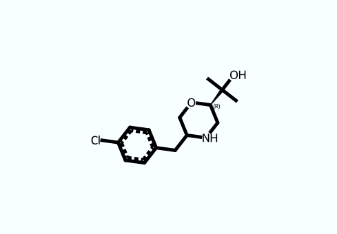 CC(C)(O)[C@H]1CNC(Cc2ccc(Cl)cc2)CO1